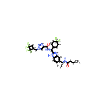 C[C@@H](NC(=O)CCC(F)(F)F)c1ccc2[nH]c([C@@H](NC(=O)c3cn(CC4CC(F)(F)C4(F)F)nn3)C3CCC(F)(F)CC3)nc2c1